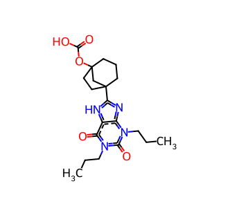 CCCn1c(=O)c2[nH]c(C34CCCC(OC(=O)O)(CC3)C4)nc2n(CCC)c1=O